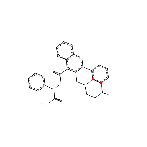 COC(=O)N(NC(=O)c1c(CN2CCC(C(=O)O)CC2)c(-c2ccccc2)nc2ccccc12)c1ccccc1